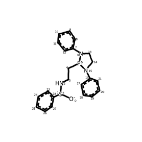 [O-][S+](NCCP1N(c2ccccc2)CCN1c1ccccc1)c1ccccc1